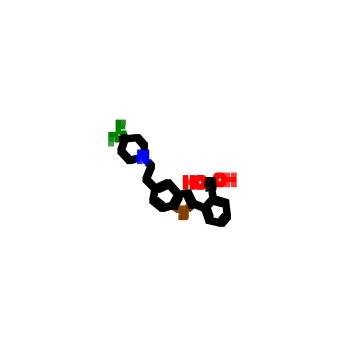 OB(O)c1ccccc1-c1cc2cc(CCN3CCC(F)(F)CC3)ccc2s1